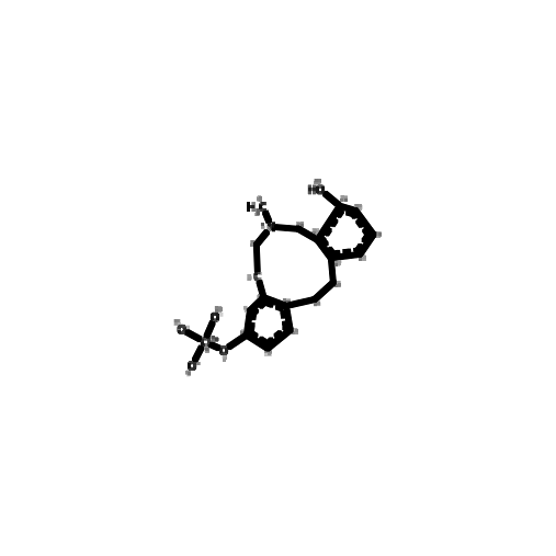 CN1CCc2cc(O[Cl+3]([O-])([O-])[O-])ccc2CCc2cccc(O)c2C1